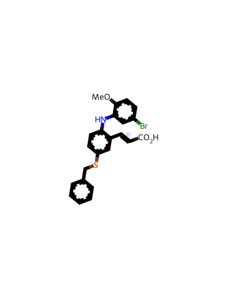 COc1ccc(Br)cc1Nc1ccc(SCc2ccccc2)cc1/C=C/C(=O)O